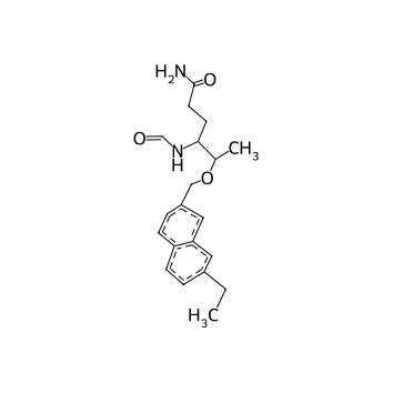 CCc1ccc2ccc(COC(C)C(CCC(N)=O)NC=O)cc2c1